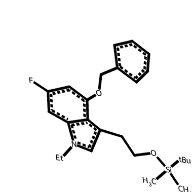 CCn1cc(CCO[Si](C)(C)C(C)(C)C)c2c(OCc3ccccc3)cc(F)cc21